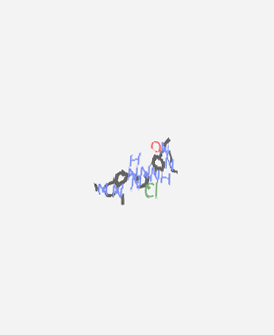 CCN1CCN(CC)c2cc(Nc3ncc(Cl)c(Nc4ccc5c(c4)N(CC)CCN(CC)C5=O)n3)ccc2C1